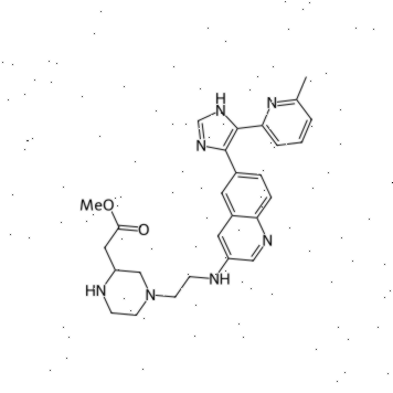 COC(=O)CC1CN(CCNc2cnc3ccc(-c4nc[nH]c4-c4cccc(C)n4)cc3c2)CCN1